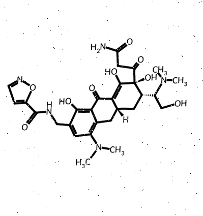 CN(C)c1cc(CNC(=O)c2ccno2)c(O)c2c1C[C@H]1C[C@@H](C(CO)N(C)C)[C@@](O)(C(=O)CC(N)=O)C(O)=C1C2=O